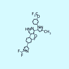 Cc1cc(-c2n[nH]cc(-c3ccc(-c4cnn(C(F)F)c4)cc3F)c2=O)n(-c2cccc(OC(F)(F)F)c2)n1